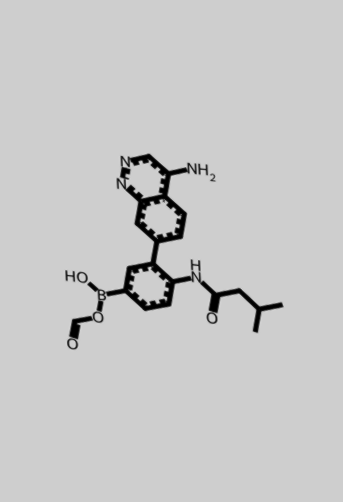 CC(C)CC(=O)Nc1ccc(B(O)OC=O)cc1-c1ccc2c(N)cnnc2c1